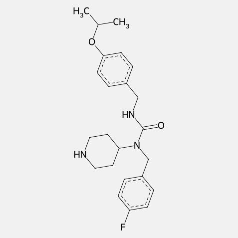 CC(C)Oc1ccc(CNC(=O)N(Cc2ccc(F)cc2)C2CCNCC2)cc1